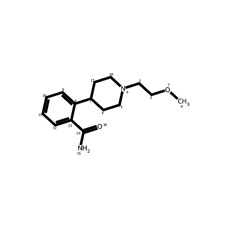 COCCN1CCC(c2ccccc2C(N)=O)CC1